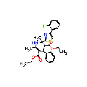 CCOC(=O)C1=C(C)NC(C)(c2nc(-c3ccccc3F)cs2)C(C(=O)OCC)C1c1ccccc1